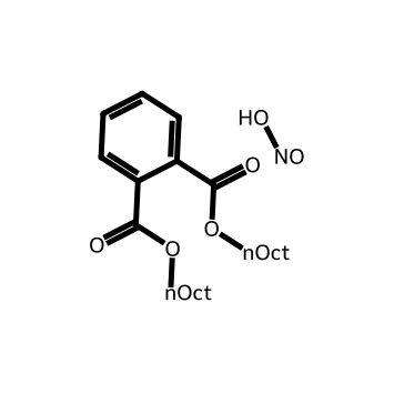 CCCCCCCCOC(=O)c1ccccc1C(=O)OCCCCCCCC.O=NO